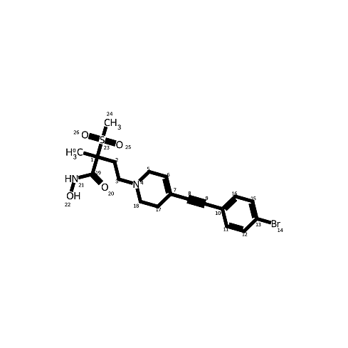 CC(CCN1CC=C(C#Cc2ccc(Br)cc2)CC1)(C(=O)NO)S(C)(=O)=O